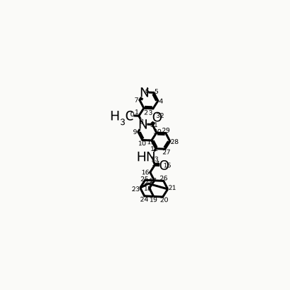 CC(c1cccnc1)n1ccc2c(NC(=O)CC34CC5CC(CC(C5)C3)C4)cccc2c1=O